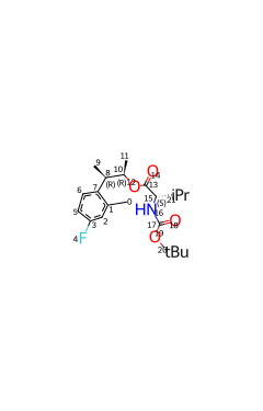 Cc1cc(F)ccc1[C@@H](C)[C@@H](C)OC(=O)[C@@H](NC(=O)OC(C)(C)C)C(C)C